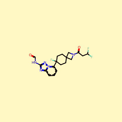 O=CNc1nc2cccc(C3(F)CCC4(CC3)CN(C(=O)CC(F)F)C4)n2n1